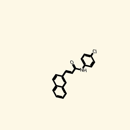 O=C(C=Cc1ccc2ccccc2c1)Nc1ccc(Cl)cc1